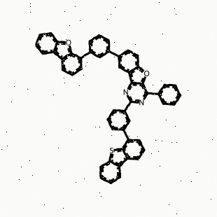 c1ccc(-c2nc(-c3cccc(-c4cccc5c4sc4ccccc45)c3)nc3c2oc2ccc(-c4cccc(-c5cccc6c5oc5ccccc56)c4)cc23)cc1